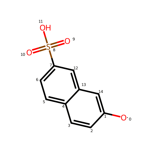 [O]c1ccc2ccc(S(=O)(=O)O)cc2c1